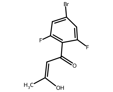 CC(O)=CC(=O)c1c(F)cc(Br)cc1F